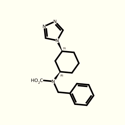 O=C(O)N(Cc1ccccc1)[C@@H]1CCC[C@H](n2cnnc2)C1